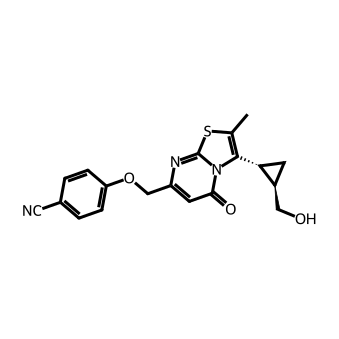 Cc1sc2nc(COc3ccc(C#N)cc3)cc(=O)n2c1[C@@H]1C[C@H]1CO